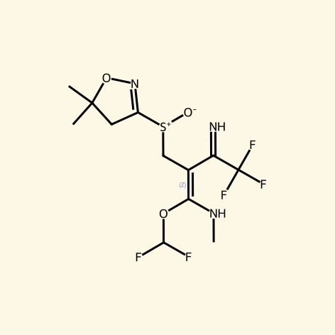 CN/C(OC(F)F)=C(/C[S+]([O-])C1=NOC(C)(C)C1)C(=N)C(F)(F)F